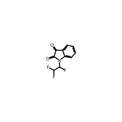 O=C1C(=O)N(C(F)C(F)F)c2ccccc21